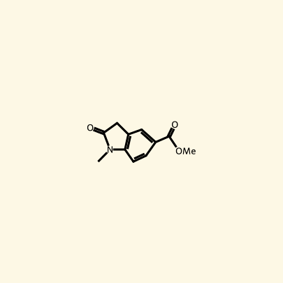 COC(=O)c1ccc2c(c1)CC(=O)N2C